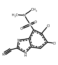 CN(C)S(=O)(=O)c1c(Cl)c(Cl)cc2[nH]c(C#N)nc12